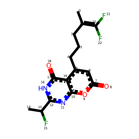 CC(CCCc1cc(=O)oc2nc(C(C)F)[nH]c(=O)c12)=C(F)F